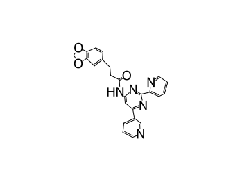 O=C(CCc1ccc2c(c1)OCO2)Nc1cc(-c2cccnc2)nc(-c2ccccn2)n1